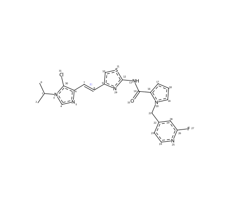 CC(C)n1cnc(/C=C/c2csc(NC(=O)c3cccn3Cc3ccnc(F)c3)n2)c1Cl